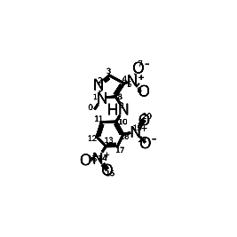 Cn1ncc([N+](=O)[O-])c1Nc1ccc([N+](=O)[O-])cc1[N+](=O)[O-]